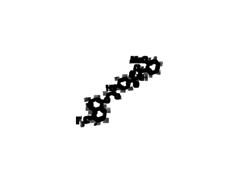 COc1ccccc1C(=O)NS(=O)(=O)c1ccc(NC(=O)COc2ccnc3c(C(F)(F)F)cccc23)cc1